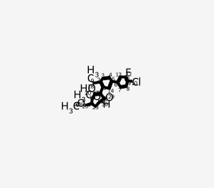 CCc1ccc(-c2ccc(Cl)c(F)c2)cc1C1=C(O)[C@]2(C)O[C@@H](CC2COC)C1=O